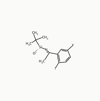 C/C(=N\[S@+]([O-])C(C)(C)C)c1cc(F)ccc1I